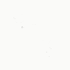 COCc1cc(NC(=O)O)ccc1Oc1ccc(NC(=O)NN(C)C)cc1